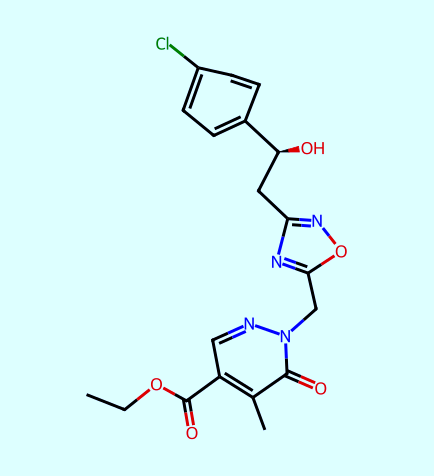 CCOC(=O)c1cnn(Cc2nc(C[C@H](O)c3ccc(Cl)cc3)no2)c(=O)c1C